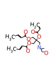 C=CC(=O)OC(CN=C=O)(COC(=O)C=CC)COC(=O)C=CC